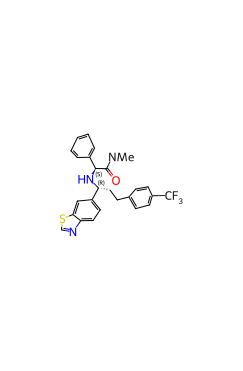 CNC(=O)[C@@H](N[C@H](CCc1ccc(C(F)(F)F)cc1)c1ccc2ncsc2c1)c1ccccc1